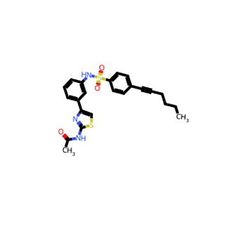 CCCCC#Cc1ccc(S(=O)(=O)Nc2cccc(-c3csc(NC(C)=O)n3)c2)cc1